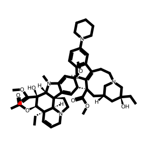 CC[C@]1(O)C[C@H]2CN(CCC3=C(Bc4ccc(N5CCCCC5)cc43)[C@@](C(=O)OC)(C3C=C4C(=CC3OC)N(C)[C@H]3[C@@](O)(C(=O)OC)[C@H](OC(C)=O)[C@]5(CC)C=CCN6CC[C@]43[C@@H]65)C2)C1